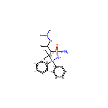 CC(CN(C)C)CS(N)(=O)=N[Si](c1ccccc1)(c1ccccc1)C(C)(C)C